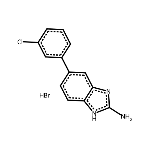 Br.Nc1nc2cc(-c3cccc(Cl)c3)ccc2[nH]1